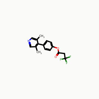 Cc1cncc(C)c1-c1ccc(OC(=O)CC(F)(F)F)cc1